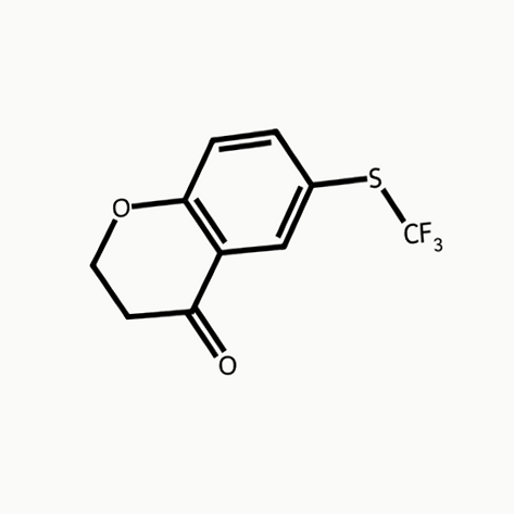 O=C1CCOc2ccc(SC(F)(F)F)cc21